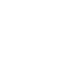 CCC(CC)C(O)C(O)C(O)C(O)C=S(=O)=O